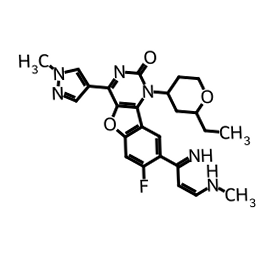 CCC1CC(n2c(=O)nc(-c3cnn(C)c3)c3oc4cc(F)c(C(=N)/C=C\NC)cc4c32)CCO1